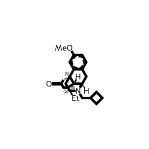 CC[C@H]1CC(=O)C[C@]23CCN(CC4CCC4)[C@H](Cc4ccc(OC)cc42)[C@H]13